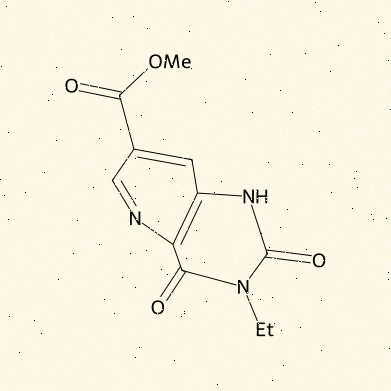 CCn1c(=O)[nH]c2cc(C(=O)OC)cnc2c1=O